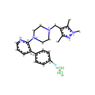 Cc1nn(C)c(C)c1CN1CCN(c2ncccc2-c2ccc(F)cc2)CC1.Cl.Cl